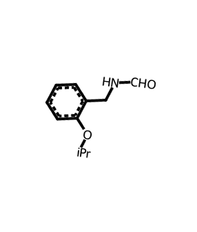 CC(C)Oc1ccccc1CNC=O